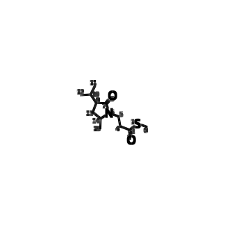 CSC(=O)CCN1C(=O)C(C(C)C)CC1C